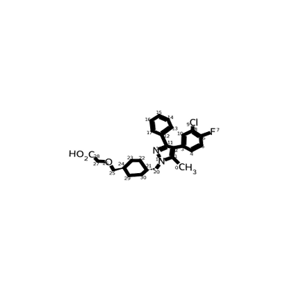 Cc1c(-c2ccc(F)c(Cl)c2)c(-c2ccccc2)nn1C[C@H]1CC[C@H](COCC(=O)O)CC1